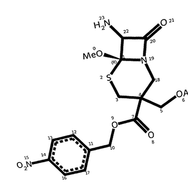 CO[C@]12SCC(COC(C)=O)(C(=O)OCc3ccc([N+](=O)[O-])cc3)CN1C(=O)C2N